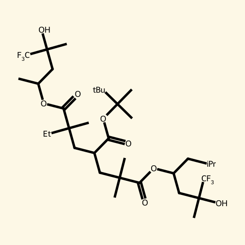 CCC(C)(CC(CC(C)(C)C(=O)OC(CC(C)C)CC(C)(O)C(F)(F)F)C(=O)OC(C)(C)C(C)(C)C)C(=O)OC(C)CC(C)(O)C(F)(F)F